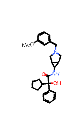 COc1cccc(CN2CC3C(C2)C3NC(=O)C(O)(c2ccccc2)C2CCCC2)c1